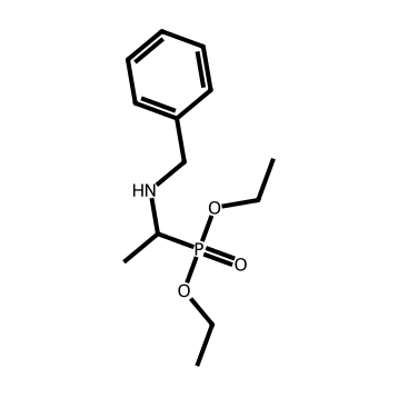 CCOP(=O)(OCC)C(C)NCc1ccccc1